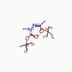 CC(=NN(C)C(=O)OC(C)(C)C)OC(C)(C)C